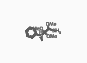 COC([SiH3])C(OC)(OC)[SiH](C)c1ccccc1